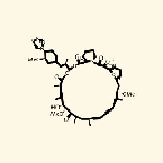 CO[C@H]1C[C@@H]2CC[C@@H](C)[C@@](O)(O2)C(=O)C(=O)N2CCCC[C@H]2C(=O)O[C@H]([C@H](C)CC2CC[C@H](n3cnnn3)[C@H](OC)C2)CC(=O)[C@H](C)/C=C(\C)[C@@H](O)[C@@H](OC)C(=O)[C@H](C)C[C@H](C)/C=C/C=C/C=C/1C